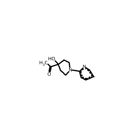 CC(=O)C1(O)CCN(c2cc[c]cn2)CC1